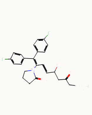 O=C(O)CC(=O)CC(O)C=CC(=C(c1ccc(F)cc1)c1ccc(F)cc1)N1CCCC1=O